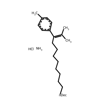 CCCCCCCCCCCCCCCCCCC(=C(C)C)c1ccc(C)cc1.Cl.N